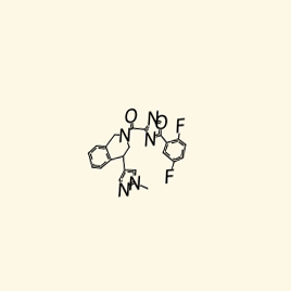 Cn1cc(C2CN(C(=O)c3noc(-c4cc(F)ccc4F)n3)Cc3ccccc32)cn1